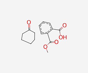 COC(=O)c1ccccc1C(=O)O.O=C1CCCCC1